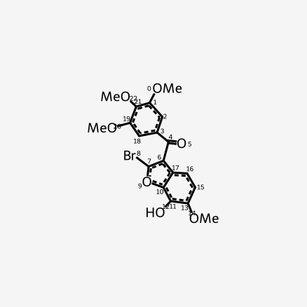 COc1cc(C(=O)c2c(Br)oc3c(O)c(OC)ccc23)cc(OC)c1OC